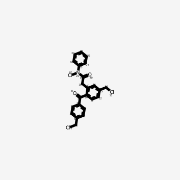 O=C(c1ccc(CCl)cc1)c1ccc(CCl)cc1CC(=O)N(Cl)c1ccccc1